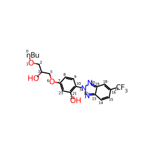 CCCCOCC(O)COc1ccc(-n2nc3ccc(C(F)(F)F)cc3n2)c(O)c1